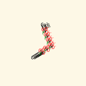 [Ca+2].[Ca+2].[Ca+2].[Ca+2].[Ca+2].[Ca+2].[Ca+2].[Ca+2].[Ca+2].[O-][Si]([O-])([O-])F.[O-][Si]([O-])([O-])F.[O-][Si]([O-])([O-])F.[O-][Si]([O-])([O-])F.[O-][Si]([O-])([O-])F.[O-][Si]([O-])([O-])F